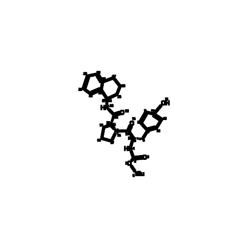 CC(C)(C)OC(=O)N[C@@H](Cc1ccc(O)cc1)C(=O)N1CCC[C@H]1C(=O)N[C@@H]1CCCc2ccccc21